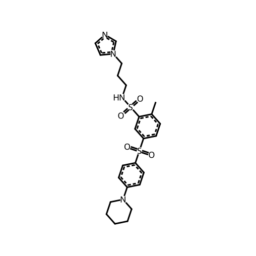 Cc1ccc(S(=O)(=O)c2ccc(N3CCCCC3)cc2)cc1S(=O)(=O)NCCCn1ccnc1